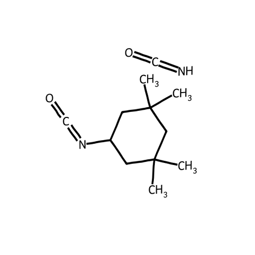 CC1(C)CC(N=C=O)CC(C)(C)C1.N=C=O